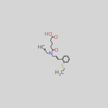 C#CCN(C/C=C/c1ccccc1SCC)C(=O)CCCC(=O)O